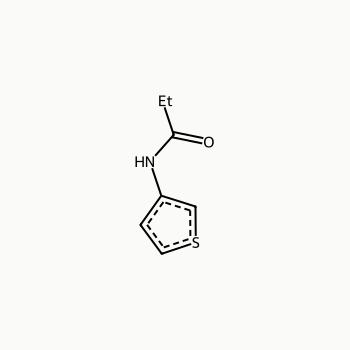 CCC(=O)Nc1ccsc1